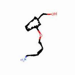 NC/C=C\COc1cccc(CO)c1